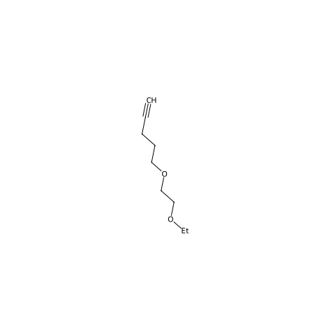 C#CCCCOCCOCC